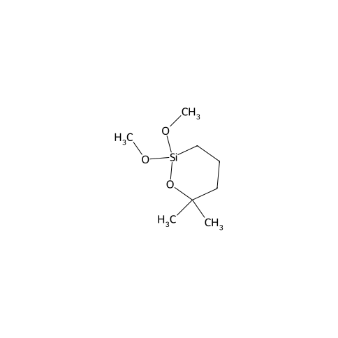 CO[Si]1(OC)CCCC(C)(C)O1